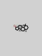 CC1(C)CCC[C@@H]2CC[C@@H]3[C@H](CC[C@]4(C)C(=O)CC[C@@H]34)[C@]21C